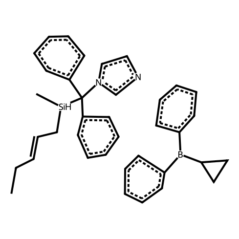 CCC=CC[SiH](C)C(c1ccccc1)(c1ccccc1)n1ccnc1.c1ccc(B(c2ccccc2)C2CC2)cc1